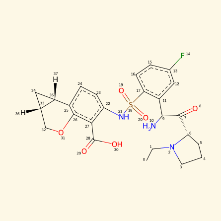 CCN1CCC[C@H]1C(=O)C(N)c1cc(F)ccc1S(=O)(=O)Nc1ccc2c(c1C(=O)O)OC[C@@H]1C[C@H]21